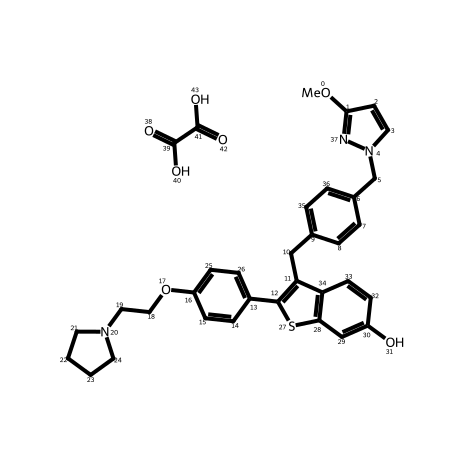 COc1ccn(Cc2ccc(Cc3c(-c4ccc(OCCN5CCCC5)cc4)sc4cc(O)ccc34)cc2)n1.O=C(O)C(=O)O